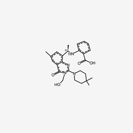 Cc1cc([C@@H](C)Nc2ccccc2C(=O)O)c2nc(N3CCC(C)(C)CC3)n(CO)c(=O)c2c1